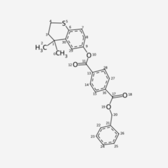 CC1(C)CCSc2ccc(OC(=O)c3ccc(C(=O)OCc4ccccc4)cc3)cc21